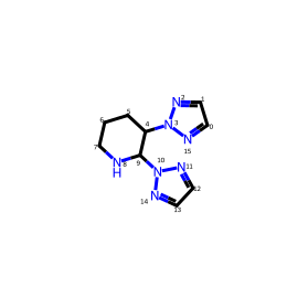 c1cnn(C2CCCNC2n2nccn2)n1